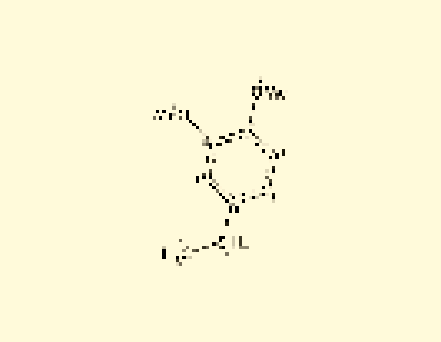 COc1ccc([SiH2]C)cc1OC